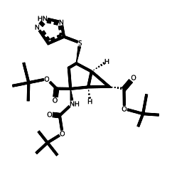 CC(C)(C)OC(=O)N[C@@]1(C(=O)OC(C)(C)C)C[C@@H](Sc2cn[nH]n2)[C@H]2[C@H](C(=O)OC(C)(C)C)[C@H]21